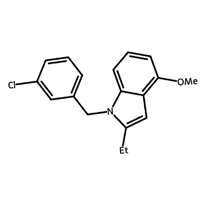 CCc1cc2c(OC)cccc2n1Cc1cccc(Cl)c1